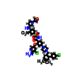 CC1(C)CCC(CN2CCN(c3ccc(C(=O)NS(=O)(=O)c4ccc(N[C@H]5CCN(C6COC6)C5)c([N+](=O)[O-])c4)c(Oc4cnc(N)c(Cl)c4)c3)CC2)=C(c2ccc(Cl)cc2)C1